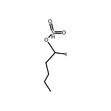 CCCCC(I)O[SH](=O)=O